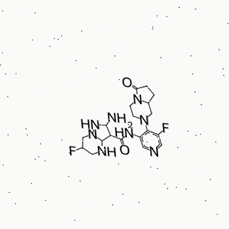 NC1NN2CC(F)CNC2C1C(=O)Nc1cncc(F)c1N1CCN2C(=O)CCC2C1